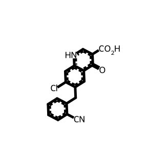 N#Cc1ccccc1Cc1cc2c(=O)c(C(=O)O)c[nH]c2cc1Cl